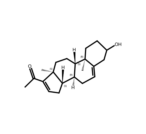 CC(=O)C1=CC[C@H]2[C@@H]3CC=C4CC(O)CC[C@]4(C)[C@H]3CC[C@]12C